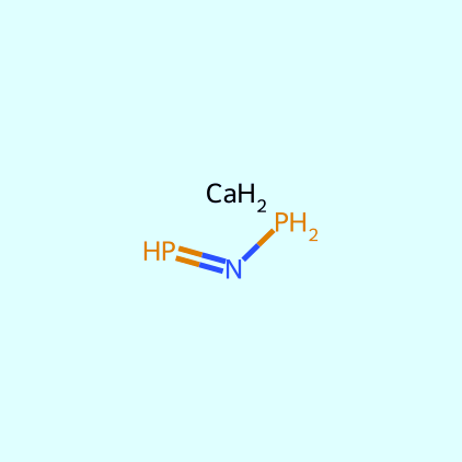 P=NP.[CaH2]